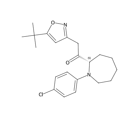 CC(C)(C)c1cc(CC(=O)[C@@H]2CCCCCN2c2ccc(Cl)cc2)no1